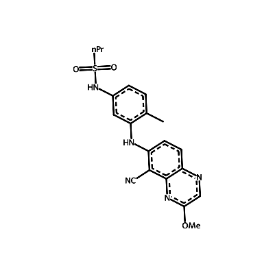 CCCS(=O)(=O)Nc1ccc(C)c(Nc2ccc3ncc(OC)nc3c2C#N)c1